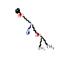 CCCCCCC(CCCCCC)CCOC(=O)CCCCCCCN(CCCCCCCCOC(=O)CC12CC3CC(CC(C3)C1)C2)CCCn1ccnc1